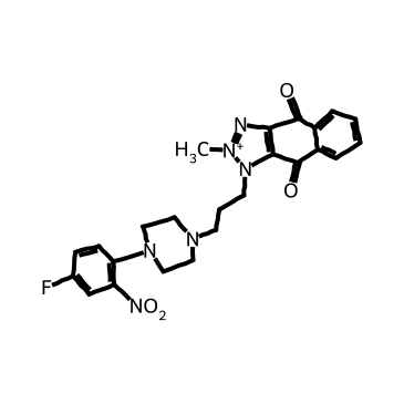 C[n+]1nc2c(n1CCCN1CCN(c3ccc(F)cc3[N+](=O)[O-])CC1)C(=O)c1ccccc1C2=O